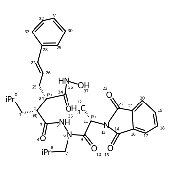 CC(C)C[C@@H](C(=O)NN(CC(C)C)C(=O)[C@H](C)N1C(=O)c2ccccc2C1=O)[C@H](CC=Cc1ccccc1)C(=O)NO